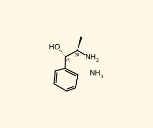 C[C@@H](N)[C@@H](O)c1ccccc1.N